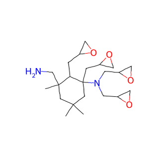 CC1(C)CC(C)(CN)C(CC2CO2)C(CC2CO2)(N(CC2CO2)CC2CO2)C1